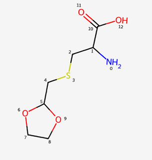 NC(CSCC1OCCO1)C(=O)O